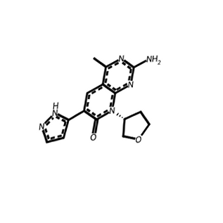 Cc1nc(N)nc2c1cc(-c1ccn[nH]1)c(=O)n2[C@@H]1CCOC1